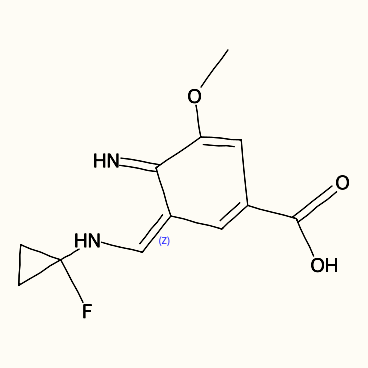 COC1=CC(C(=O)O)=C/C(=C/NC2(F)CC2)C1=N